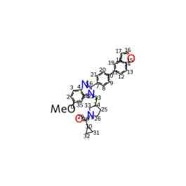 COc1ccc2nc(-c3ccc(-c4ccc5occc5c4)cc3)n(C[C@H]3CCN(C(=O)C4CC4)C3)c2c1